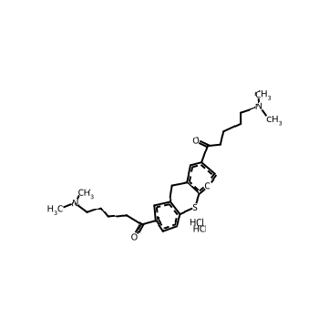 CN(C)CCCCC(=O)c1ccc2c(c1)Cc1cc(C(=O)CCCCN(C)C)ccc1S2.Cl.Cl